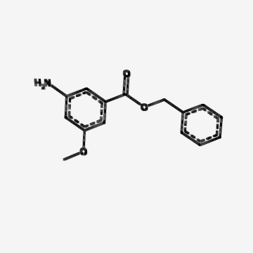 COc1cc(N)cc(C(=O)OCc2ccccc2)c1